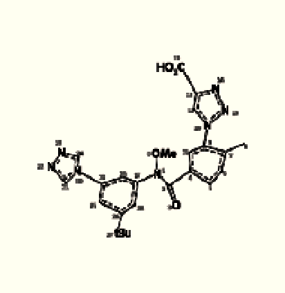 CON(C(=O)c1ccc(C)c(-n2cc(C(=O)O)nn2)c1)c1cc(-n2cnnc2)cc(C(C)(C)C)c1